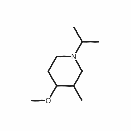 COC1CCN(C(C)C)CC1C